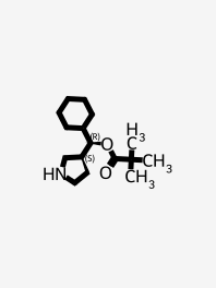 CC(C)(C)C(=O)O[C@H](C1CCCCC1)[C@H]1CCNC1